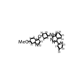 COc1ccc2c(Oc3ccc(Nc4nnc(-c5cc(C)ccn5)c5ccccc45)cc3)ccnc2c1